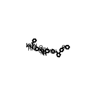 CN(C)CCC(CSc1ccccc1)Nc1ccc(S(=O)(=O)Nc2ncnc3cc(N4CCN(Cc5ccccc5-c5ccc(Oc6ccccc6)cc5)CC4)ccc23)cc1[N+](=O)[O-]